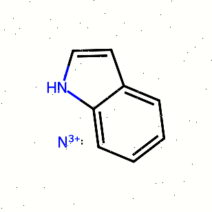 [N+3].c1ccc2[nH]ccc2c1